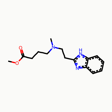 COC(=O)CCCN(C)CCc1nc2ccccc2[nH]1